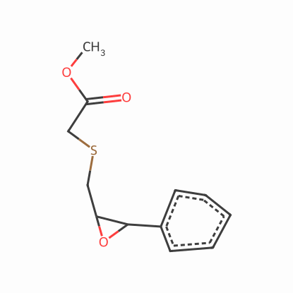 COC(=O)CSCC1OC1c1ccccc1